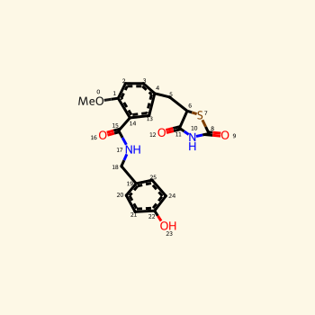 COc1ccc(CC2SC(=O)NC2=O)cc1C(=O)NCc1ccc(O)cc1